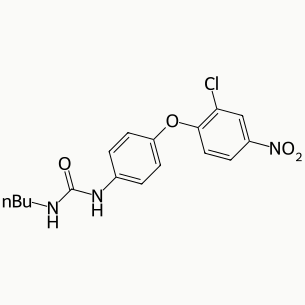 CCCCNC(=O)Nc1ccc(Oc2ccc([N+](=O)[O-])cc2Cl)cc1